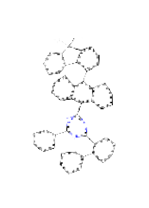 C[Si]1(C)c2ccccc2-c2c(-c3c4ccccc4c(-c4nc(-c5ccccc5)nc(-c5ccccc5-c5ccccc5)n4)c4ccccc34)cccc21